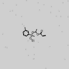 C=CC(=O)OC(C)O[Si](C)(OCC)c1cccc(C)c1